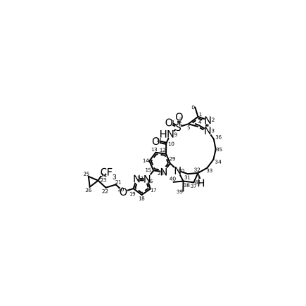 Cc1nn2cc1S(=O)(=O)NC(=O)c1ccc(-n3ccc(OCCC4(C(F)(F)F)CC4)n3)nc1N1C[C@H](CCCC2)CC1(C)C